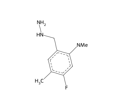 CNc1cc(F)c(C)cc1CNN